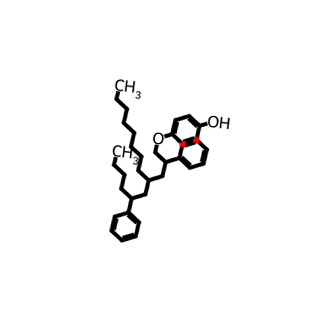 CCCCCCCCC(CC(CCCC)c1ccccc1)CC(COc1ccc(O)cc1)c1ccccc1